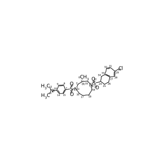 C[C@H]1CN(S(=O)(=O)c2ccc(N(C)C)cc2)CCCCN(S(=O)(=O)C2CCc3cc(Cl)ccc3C2)C1